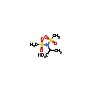 CC(C(=O)O)N(S(C)(=O)=O)S(C)(=O)=O